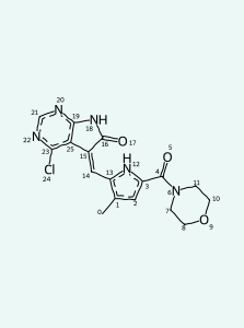 Cc1cc(C(=O)N2CCOCC2)[nH]c1C=C1C(=O)Nc2ncnc(Cl)c21